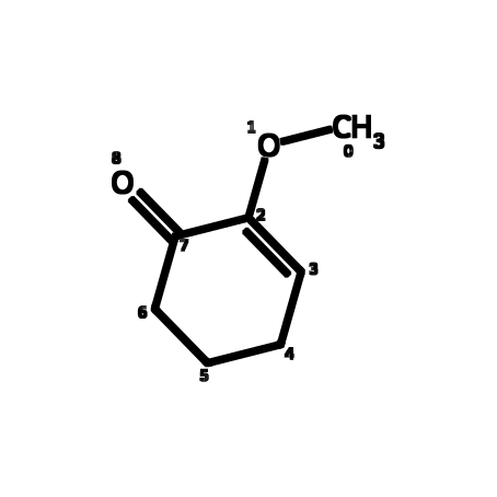 COC1=CCCCC1=O